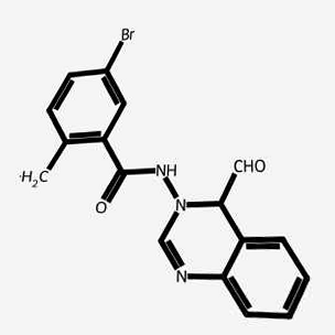 [CH2]c1ccc(Br)cc1C(=O)NN1C=Nc2ccccc2C1C=O